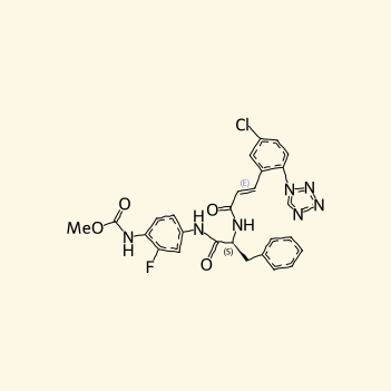 COC(=O)Nc1ccc(NC(=O)[C@H](Cc2ccccc2)NC(=O)/C=C/c2cc(Cl)ccc2-n2cnnn2)cc1F